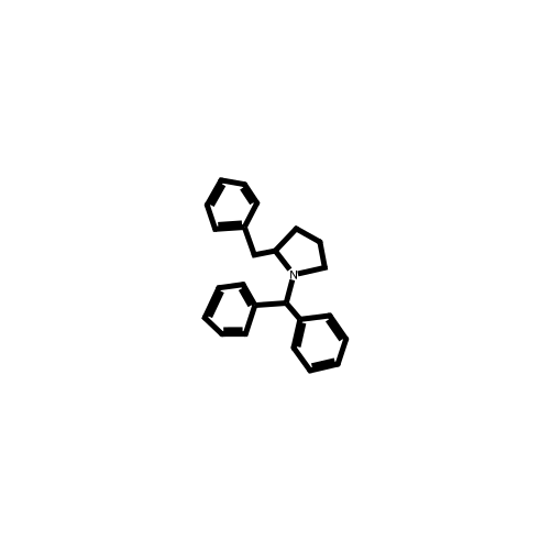 c1ccc(CC2CCCN2C(c2ccccc2)c2ccccc2)cc1